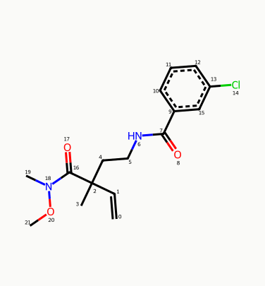 C=CC(C)(CCNC(=O)c1cccc(Cl)c1)C(=O)N(C)OC